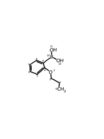 CCCOc1ccccc1B(O)O